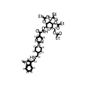 CCC(=O)OC[C@H]1O[C@@H](ONC(=O)c2cnc(N3CCC(CNCc4cn(C)c5ccccc45)CC3)nc2)[C@H](OC(=O)CC)[C@@H](OC(=O)CC)[C@H]1OC(=O)CC